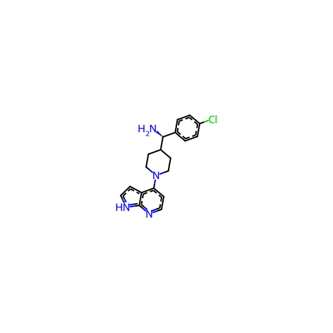 N[C@@H](c1ccc(Cl)cc1)C1CCN(c2ccnc3[nH]ccc23)CC1